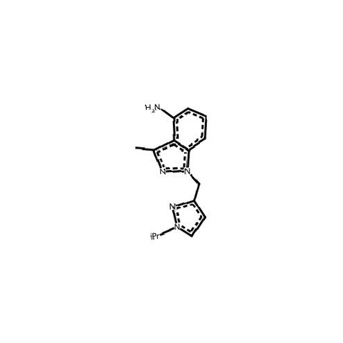 Cc1nn(Cc2ccn(C(C)C)n2)c2cccc(N)c12